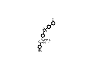 CC(C)(C)c1ccc(C(=O)N[C@@H](Cc2ccc(-c3noc(-c4ccc(-c5cccc(Cl)c5)cc4)n3)cc2)C(=O)O)cc1